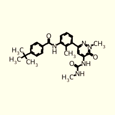 CNC(=O)Nc1cc(-c2cccc(NC(=O)c3ccc(C(C)(C)C)cc3)c2C)nn(C)c1=O